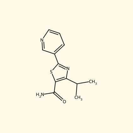 CC(C)c1nc(-c2cccnc2)sc1C(N)=O